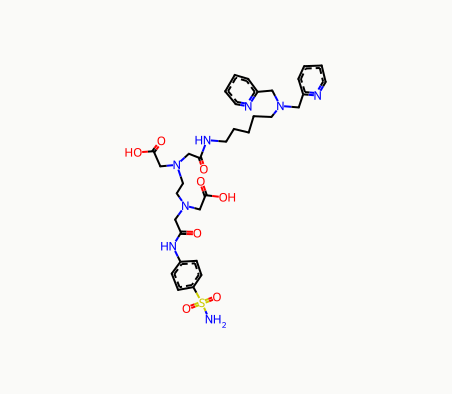 NS(=O)(=O)c1ccc(NC(=O)CN(CCN(CC(=O)O)CC(=O)NCCCCCN(Cc2ccccn2)Cc2ccccn2)CC(=O)O)cc1